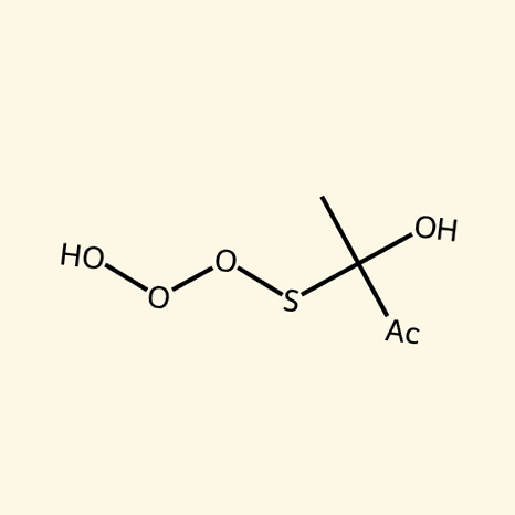 CC(=O)C(C)(O)SOOO